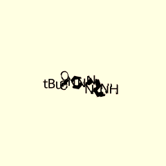 CC(C)(C)OC(=O)N1CCN(c2ncc3[nH]ccc3n2)CC1